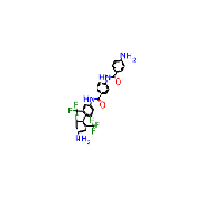 NC1=CC(C(F)(F)F)=C(c2ccc(NC(=O)c3ccc(NC(=O)c4ccc(N)cc4)cc3)cc2C(F)(F)F)CC1